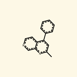 Cc1cc(-c2ccccc2)c2ccncc2n1